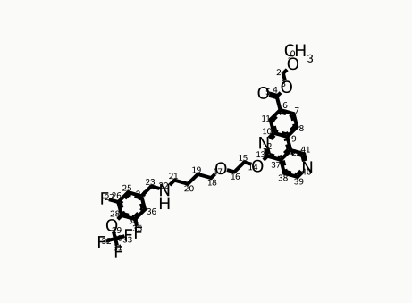 COCOC(=O)c1ccc2c(c1)nc(OCCOCCCCNCc1cc(F)c(OC(F)(F)F)c(F)c1)c1ccncc12